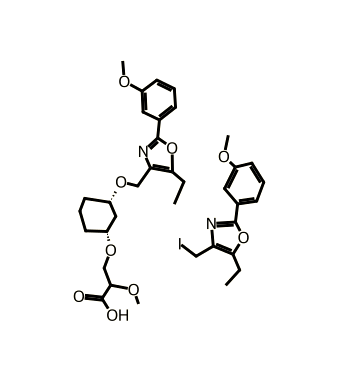 CCc1oc(-c2cccc(OC)c2)nc1CI.CCc1oc(-c2cccc(OC)c2)nc1CO[C@H]1CCC[C@@H](OCC(OC)C(=O)O)C1